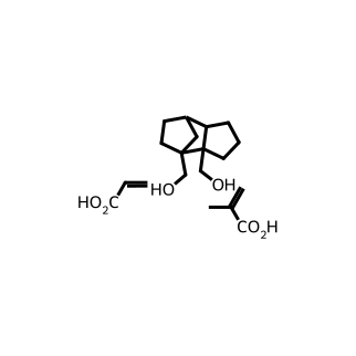 C=C(C)C(=O)O.C=CC(=O)O.OCC12CCC(C1)C1CCCC12CO